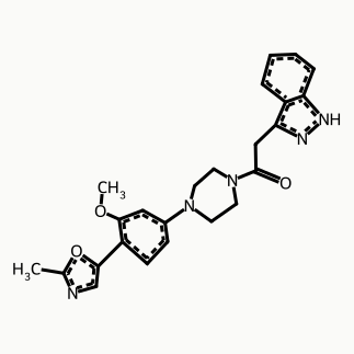 COc1cc(N2CCN(C(=O)Cc3n[nH]c4ccccc34)CC2)ccc1-c1cnc(C)o1